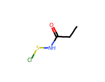 CCC(=O)NSCl